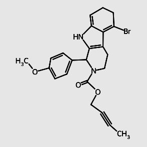 CC#CCOC(=O)N1CCc2c([nH]c3c2=C(Br)CCC=3)C1c1ccc(OC)cc1